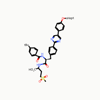 CCCCCCCOc1ccc(-c2cnc(-c3ccc(C[C@H](NC(=O)c4ccc(C(C)(C)C)cc4)C(=O)NC(CCS(C)(=O)=O)C(=O)O)cc3)nc2)cc1